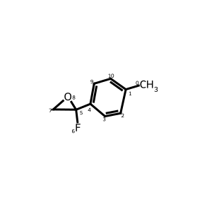 Cc1ccc(C2(F)CO2)cc1